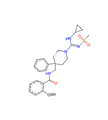 COc1ccccc1C(=O)NCC1(c2ccccc2)CCN(C(=NS(C)(=O)=O)NC2CC2)CC1